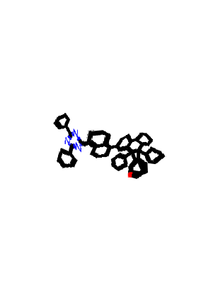 c1ccc(-c2nc(-c3ccccc3)nc(-c3cccc4c(-c5ccc6c(c5)C(c5ccccc5)(c5ccccc5)C(c5ccccc5)(c5ccccc5)c5ccccc5-6)cccc34)n2)cc1